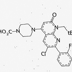 CC(C)(C)Cn1c(=O)cc(N2CCN(C(=O)O)CC2)c2cc(Cl)c(-c3ccccc3F)nc21